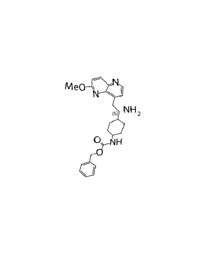 COc1ccc2nccc(C[C@H](N)C3CCC(NC(=O)OCc4ccccc4)CC3)c2n1